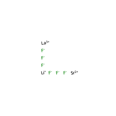 [F-].[F-].[F-].[F-].[F-].[F-].[La+3].[Li+].[Sr+2]